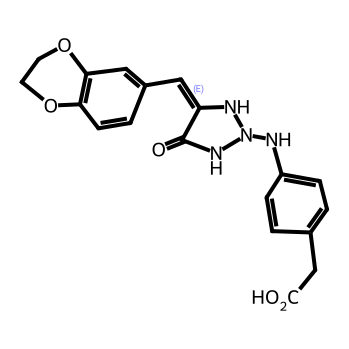 O=C(O)Cc1ccc(NN2NC(=O)/C(=C\c3ccc4c(c3)OCCO4)N2)cc1